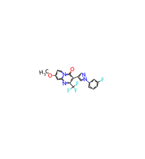 COc1ccn2c(=O)c(-c3cnn(-c4cccc(F)c4)c3)c(C(F)(F)F)nc2c1